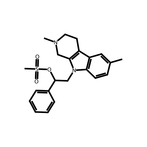 Cc1ccc2c(c1)c1c(n2CC(OS(C)(=O)=O)c2ccccc2)CN(C)CC1